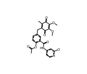 COC1=C(OC)C(=O)C(Cc2ccc(OC(C)=O)c(C(=O)Nc3ccnc(Cl)c3)c2)=C(C)C1=O